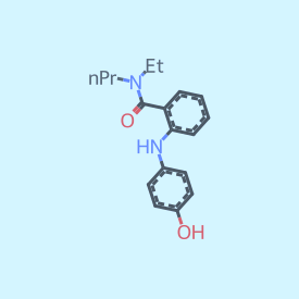 CCCN(CC)C(=O)c1ccccc1Nc1ccc(O)cc1